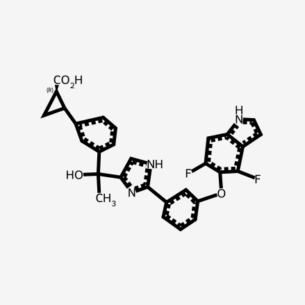 CC(O)(c1cccc(C2C[C@H]2C(=O)O)c1)c1c[nH]c(-c2cccc(Oc3c(F)cc4[nH]ccc4c3F)c2)n1